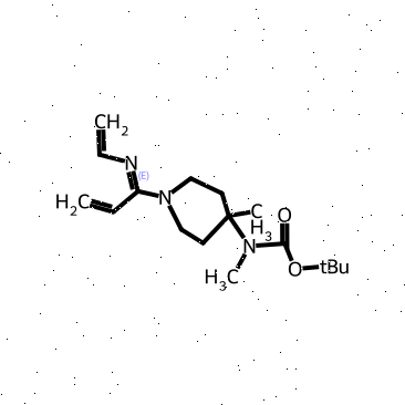 C=C/N=C(\C=C)N1CCC(C)(N(C)C(=O)OC(C)(C)C)CC1